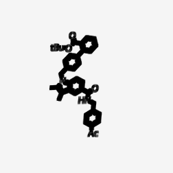 CC(=O)c1ccc(CNC(=O)c2ccc3c(c2)c(C)c(C)n3Cc2ccc(-c3ccccc3C(=O)OC(C)(C)C)cc2)cc1